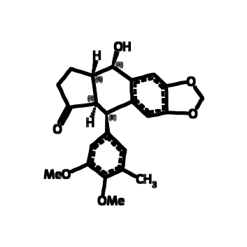 COc1cc([C@@H]2c3cc4c(cc3[C@H](O)[C@H]3CCC(=O)[C@H]23)OCO4)cc(C)c1OC